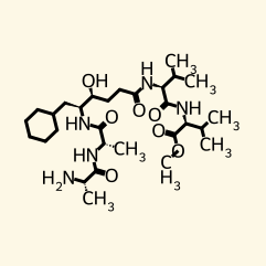 COC(=O)[C@@H](NC(=O)[C@@H](NC(=O)CC[C@H](O)[C@H](CC1CCCCC1)NC(=O)[C@H](C)NC(=O)[C@H](C)N)C(C)C)C(C)C